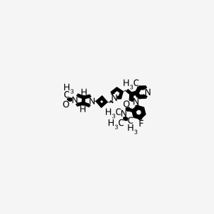 CC(=O)N1C[C@@H]2CN([C@H]3C[C@@H](CN4CC[C@H](Cc5cn(-c6ccc(F)cc6C(=O)N(C)C(C)C)c6cncc(C)c56)C4)C3)C[C@H]2C1